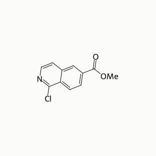 COC(=O)c1ccc2c(Cl)nccc2c1